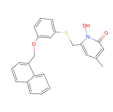 Cc1cc(CSc2cccc(OCc3cccc4ccccc34)c2)n(O)c(=O)c1